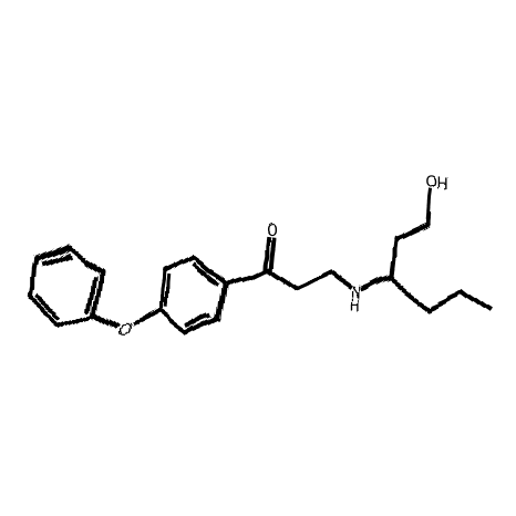 CCCC(CCO)NCCC(=O)c1ccc(Oc2ccccc2)cc1